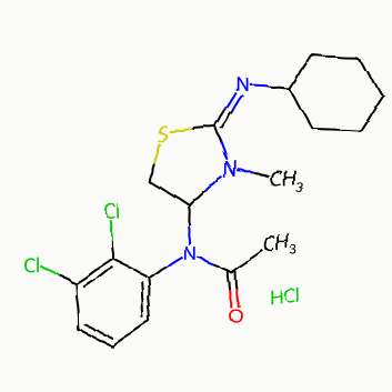 CC(=O)N(c1cccc(Cl)c1Cl)C1CSC(=NC2CCCCC2)N1C.Cl